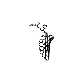 COC(=O)CCCC1(c2cccs2)C2c3cc4c5c6c3c3c7c8c9c%10c%11c%12c%13c%14c(cc%15c%16c(c(c%11c%14%16)c6c3%10)C5C(C=4)C%15)CC%13=CC(CC8CC721)C%129